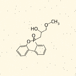 COCC(O)CP1(=O)Oc2ccccc2-c2ccccc21